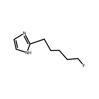 FCCCCCc1ncc[nH]1